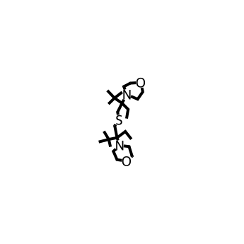 CCC(CSCC(CC)(N1CCOCC1)C(C)(C)C)(N1CCOCC1)C(C)(C)C